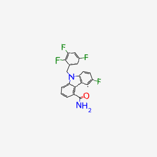 NC(=O)c1cccc2c1c1[c]c(F)ccc1n2Cc1cc(F)cc(F)c1F